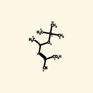 CC(C=C(C#N)C(=O)O)O[Si](C)(C)C